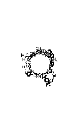 CC[C@H](C)[C@@H]1NC(=O)[C@H](CC(C)C)N(C)C(=O)C[C@@H](C(=O)N2CCCCC2)N(C)C(=O)[C@H](C2CCCCC2)N(C)C(=O)C2(CCCC2)NC(=O)[C@@H]2C[C@@H](OCC(F)F)CN2C(=O)[C@H](CCc2ccc(C(F)(F)F)c(Cl)c2)NC(=O)CN(C)C(=O)[C@H](CC2CCCCC2)N(C)C(=O)CN(C)C(=O)CN(C)C1=O